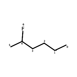 C[CH]CCC(C)F